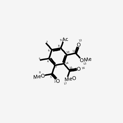 COC(=O)c1c(C)c(C)c(C(C)=O)c(C(=O)OC)c1C(=O)OC